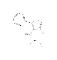 CON(C)C(=O)c1c(C)coc1-c1ccccc1